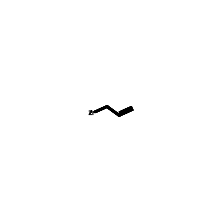 C=C[CH2][Zr]